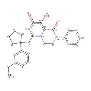 CCc1cccc(C2(Cc3nc(=O)c(O)c4n3CCN(c3ccncc3)C4=O)CCCC2)c1